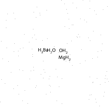 O.O.[BaH2].[MgH2]